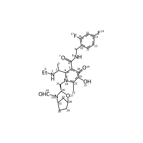 CCNC(C)c1c(C(=O)NCc2ccc(F)cc2F)c(=O)c(O)c(C)n1C[C@H]1OC2CCC(C2)N1C=O